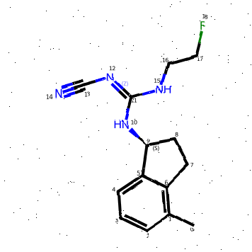 Cc1cccc2c1CC[C@@H]2N/C(=N\C#N)NCCF